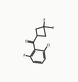 O=C(c1c(F)cccc1Cl)C1CC(F)(F)C1